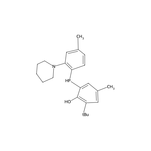 Cc1ccc(Pc2cc(C)cc(C(C)(C)C)c2O)c(N2CCCCC2)c1